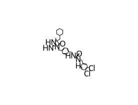 CC1(CC2CCCCC2)NC(=N)N(Cc2ccc(CNC(=O)NCc3ccc(Cl)c(Cl)c3)cc2)C1=O